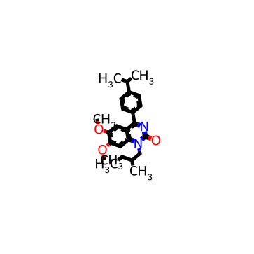 CCC(C)Cn1c(=O)nc(-c2ccc(C(C)C)cc2)c2cc(OC)c(OC)cc21